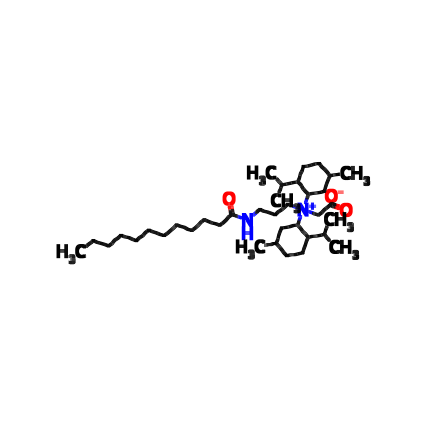 CCCCCCCCCCCC(=O)NCCC[N+](CC(=O)[O-])(C1CC(C)CCC1C(C)C)C1CC(C)CCC1C(C)C